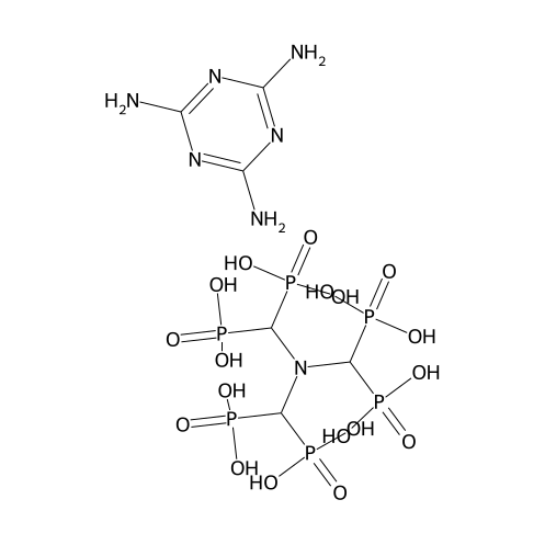 Nc1nc(N)nc(N)n1.O=P(O)(O)C(N(C(P(=O)(O)O)P(=O)(O)O)C(P(=O)(O)O)P(=O)(O)O)P(=O)(O)O